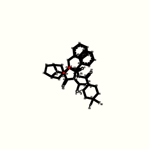 CC(C)N1C(=O)N(Cc2ccccc2)C2(CC3CCC(C2)N3CC[C@H](NC(=O)C2CCC(F)(F)CC2)c2ccccc2)C1=O